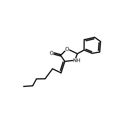 CCCCC/C=C1/NC(c2ccccc2)OC1=O